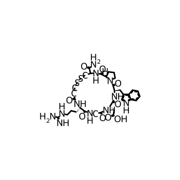 N=C(N)NCCC[C@@H]1NC(=O)CCSSCC(C(N)=O)NC(=O)[C@@H]2CCCN2C(=O)[C@@H](Cc2c[nH]c3ccccc23)NC(=O)[C@H](CC(=O)O)NC(=O)CNC1=O